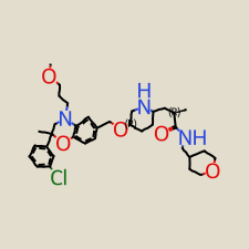 COCCCN1CC(C)(c2cccc(Cl)c2)Oc2ccc(CO[C@@H]3CCC(C[C@@H](C)C(=O)NCC4CCOCC4)NC3)cc21